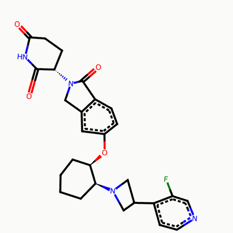 O=C1CC[C@H](N2Cc3cc(O[C@@H]4CCCC[C@@H]4N4CC(c5ccncc5F)C4)ccc3C2=O)C(=O)N1